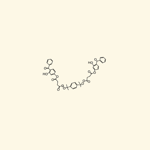 CC(C)(OOC(=O)CCC(=O)Oc1ccc(C(=O)c2ccccc2)c(O)c1)c1ccc(C(C)(C)OOC(=O)CCC(=O)Oc2ccc(C(=O)c3ccccc3)c(O)c2)cc1